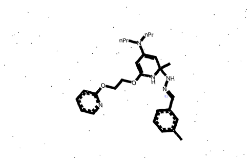 CCCN(CCC)C1=CC(C)(N/N=C/c2cccc(C)c2)NC(OCCOc2ccccn2)=C1